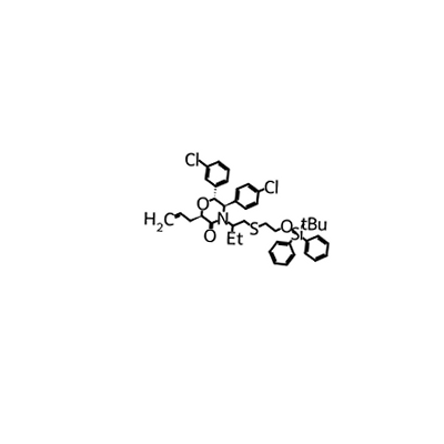 C=CC[C@H]1O[C@H](c2cccc(Cl)c2)[C@@H](c2ccc(Cl)cc2)N(C(CC)CSCCO[Si](c2ccccc2)(c2ccccc2)C(C)(C)C)C1=O